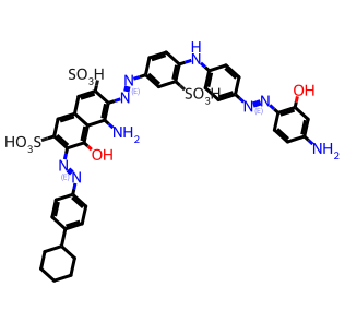 Nc1ccc(/N=N/c2ccc(Nc3ccc(/N=N/c4c(S(=O)(=O)O)cc5cc(S(=O)(=O)O)c(/N=N/c6ccc(C7CCCCC7)cc6)c(O)c5c4N)cc3S(=O)(=O)O)cc2)c(O)c1